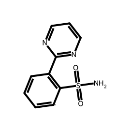 NS(=O)(=O)c1[c]cccc1-c1ncccn1